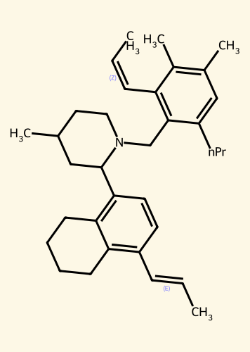 C/C=C\c1c(C)c(C)cc(CCC)c1CN1CCC(C)CC1c1ccc(/C=C/C)c2c1CCCC2